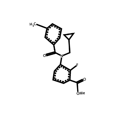 COC(=O)c1cccc(N(CC2CC2)C(=O)c2cccc(C)c2)c1F